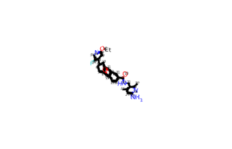 CCOc1cc(-c2ccc3c(c2)c2oc3c3ccc(C(=O)NCc4c(C)cc(N)nc4C)cc32)c(F)cn1